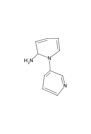 NC1C=CC=CN1c1cccnc1